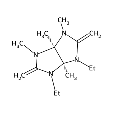 C=C1N(C)[C@]2(C)N(C)C(=C)N(CC)[C@]2(C)N1CC